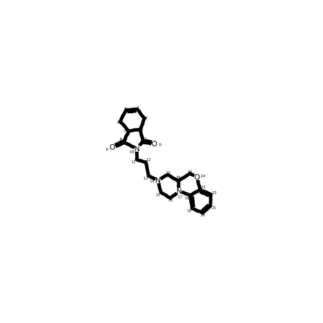 O=C1C2CC=CCC2C(=O)N1CCCN1CCN2c3ccccc3OCC2C1